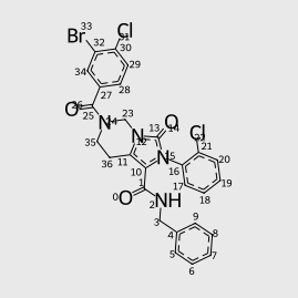 O=C(NCc1ccccc1)c1c2n(c(=O)n1-c1ccccc1Cl)CN(C(=O)c1ccc(Cl)c(Br)c1)CC2